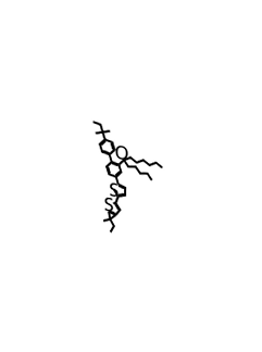 CCCCCCC1(CCCCC)Oc2cc(C(C)(C)CC)ccc2-c2ccc(-c3ccc(-c4cc5c(s4)C5(C)CC)s3)cc21